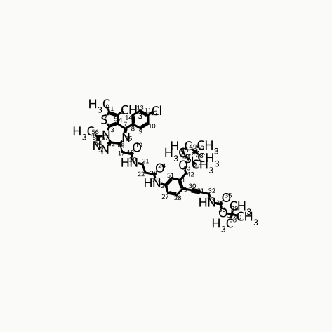 Cc1sc2c(c1C)C(c1ccc(Cl)cc1)=N[C@@H](CC(=O)NCCC(=O)Nc1ccc(C#CCNC(=O)OC(C)(C)C)c(CO[Si](C)(C)C(C)(C)C)c1)c1nnc(C)n1-2